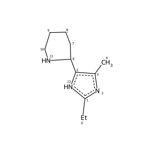 CCc1nc(C)c(C2C[CH]CCN2)[nH]1